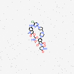 CONC(=O)COc1cc2cc(Nc3nc(N4CCC(CN5CCN(c6ccc7c(c6)C(=O)N(C6CCC(=O)NC6=O)C7=O)CC5)CC4)ncc3Cl)ccc2n(C)c1=O